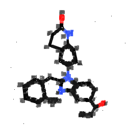 CNC(=O)c1ccc2c(c1)nc(Cc1ccccc1OC)n2-c1ccc2c(c1)CCC(=O)N2